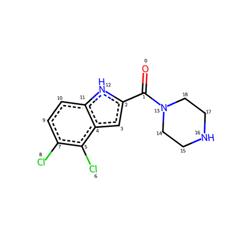 O=C(c1cc2c(Cl)c(Cl)ccc2[nH]1)N1CCNCC1